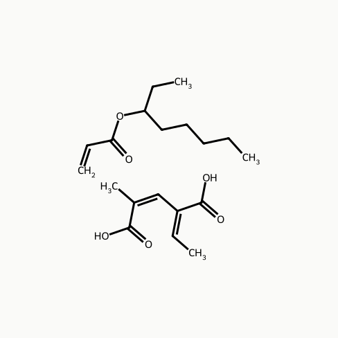 C=CC(=O)OC(CC)CCCCC.CC=C(C=C(C)C(=O)O)C(=O)O